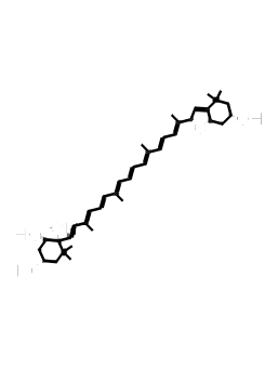 CC(/C=C/C=C(C)/C=C/[C@@]1(O)C(C)(C)C[C@H](O)C[C@@]1(C)O)=C\C=C\C=C(C)\C=C\C=C(/C)C1C=C2C(C)(C)C[C@H](O)C[C@@]2(C)O1